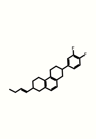 CCC=CC1CCc2c(ccc3c2CCC(c2ccc(F)c(F)c2)C3)C1